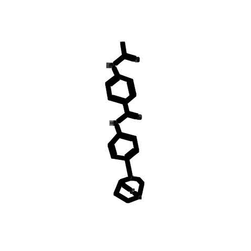 CC(=O)Nc1ccc(C(=O)Nc2ccc(N3CCN4CCC3CC4)cc2)cc1